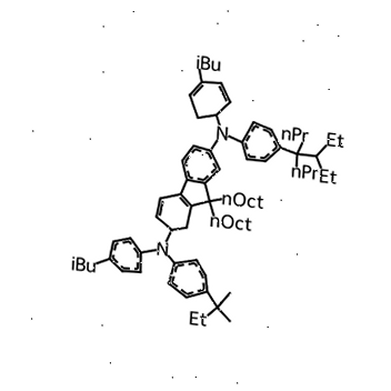 CCCCCCCCC1(CCCCCCCC)C2=C(C=CC(N(c3ccc(C(C)CC)cc3)c3ccc(C(C)(C)CC)cc3)C2)c2ccc(N(c3ccc(C(CCC)(CCC)C(CC)CC)cc3)C3C=CC(C(C)CC)=CC3)cc21